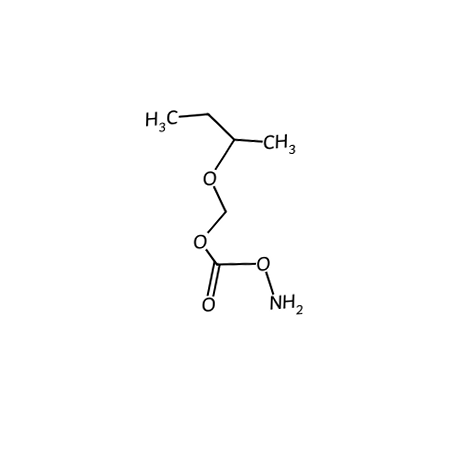 CCC(C)OCOC(=O)ON